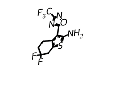 Nc1sc2c(c1-c1nc(C(F)(F)F)no1)CCC(F)(F)C2